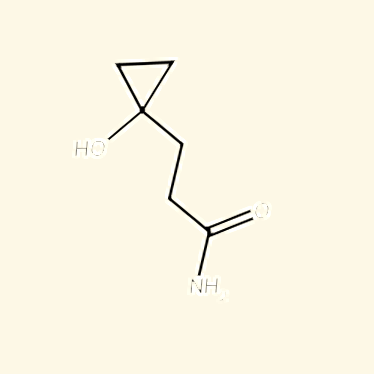 NC(=O)CCC1(O)CC1